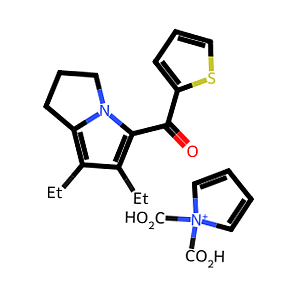 CCc1c(CC)c(C(=O)c2cccs2)n2c1CCC2.O=C(O)[N+]1(C(=O)O)C=CC=C1